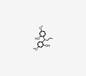 CCCC(c1ccc(OC)cc1O)c1ccc(OC)cc1O